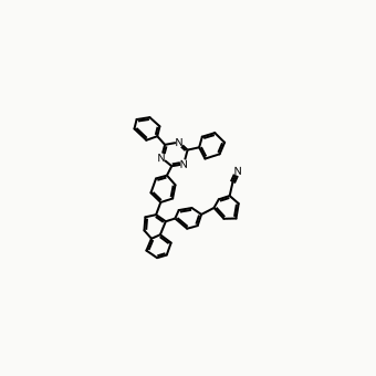 N#Cc1cccc(-c2ccc(-c3c(-c4ccc(-c5nc(-c6ccccc6)nc(-c6ccccc6)n5)cc4)ccc4ccccc34)cc2)c1